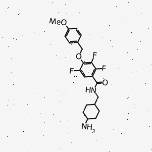 COc1ccc(COc2c(F)cc(C(=O)NCC3CCC(N)CC3)c(F)c2F)cc1